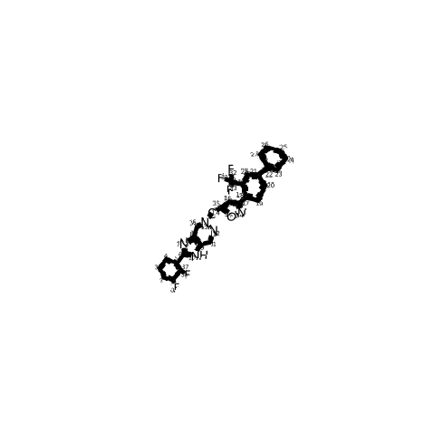 Fc1cccc(-c2nc3c([nH]2)C=NN(Cc2cc(-c4ccc(-c5ccccc5)cc4C(F)(F)F)no2)C3)c1F